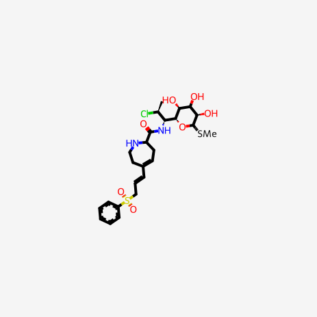 CSC1O[C@H]([C@H](NC(=O)C2CC=C(/C=C/CS(=O)(=O)c3ccccc3)CCN2)[C@H](C)Cl)[C@@H](O)C(O)[C@H]1O